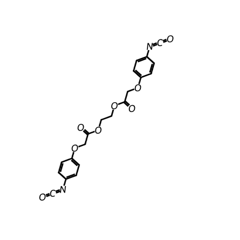 O=C=Nc1ccc(OCC(=O)OCCOC(=O)COc2ccc(N=C=O)cc2)cc1